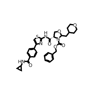 O=C(NC1CC1)c1ccc(-c2csc(NC(=O)[C@@H]3COC(CC4CCOCC4)N3C(=O)OCc3ccccc3)n2)cc1